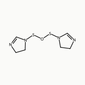 C1=NCCN1SOSN1C=NCC1